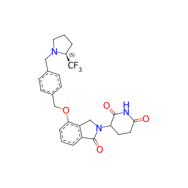 O=C1CCC(N2Cc3c(OCc4ccc(CN5CCC[C@H]5C(F)(F)F)cc4)cccc3C2=O)C(=O)N1